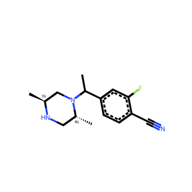 CC(c1ccc(C#N)c(F)c1)N1C[C@H](C)NC[C@H]1C